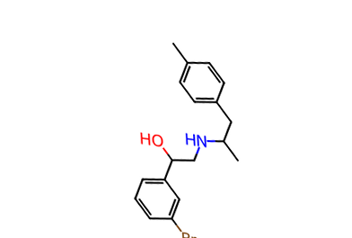 Cc1ccc(CC(C)NCC(O)c2cccc(Br)c2)cc1